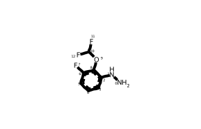 NNc1cccc(F)c1OC(F)F